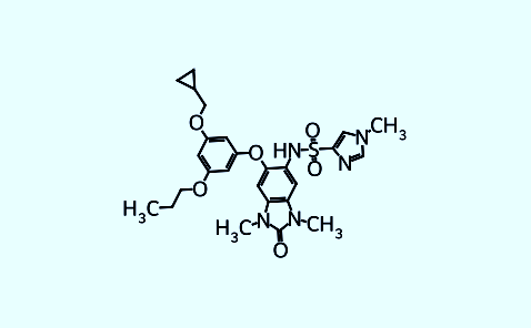 CCCOc1cc(OCC2CC2)cc(Oc2cc3c(cc2NS(=O)(=O)c2cn(C)cn2)n(C)c(=O)n3C)c1